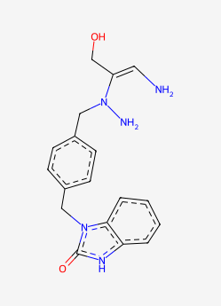 N/C=C(/CO)N(N)Cc1ccc(Cn2c(=O)[nH]c3ccccc32)cc1